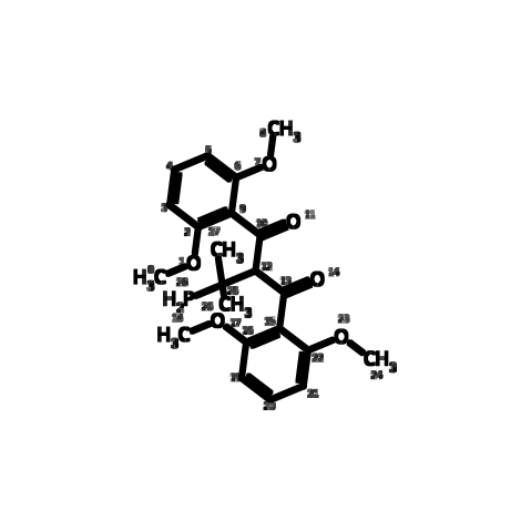 COc1cccc(OC)c1C(=O)C(C(=O)c1c(OC)cccc1OC)C(C)(C)P